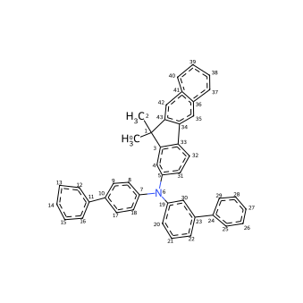 CC1(C)c2cc(N(c3ccc(-c4ccccc4)cc3)c3cccc(-c4ccccc4)c3)ccc2-c2cc3ccccc3cc21